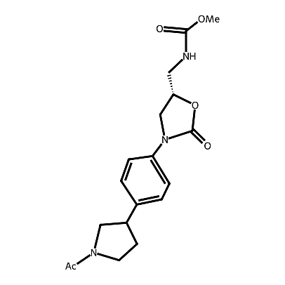 COC(=O)NC[C@H]1CN(c2ccc(C3CCN(C(C)=O)C3)cc2)C(=O)O1